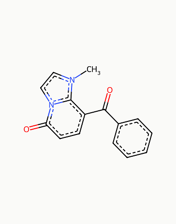 Cn1ccn2c(=O)ccc(C(=O)c3ccccc3)c12